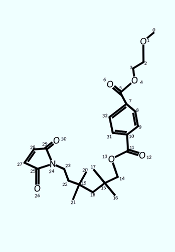 COCCOC(=O)c1ccc(C(=O)OCC(C)(C)CC(C)(C)CCN2C(=O)C=CC2=O)cc1